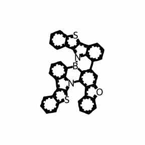 c1ccc2c(c1)oc1cc3c4c(c12)-n1c2sc5ccccc5c2c2cccc(c21)B4n1c2c-3cccc2c2sc3ccccc3c21